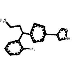 NCCC(c1ccc(-c2cn[nH]c2)cc1)c1ccccc1C(F)(F)F